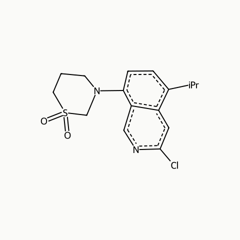 CC(C)c1ccc(N2CCCS(=O)(=O)C2)c2cnc(Cl)cc12